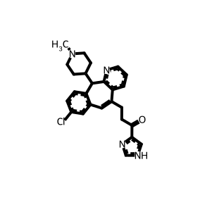 CN1CCC(C2c3ccc(Cl)cc3C=C(CCC(=O)c3c[nH]cn3)c3cccnc32)CC1